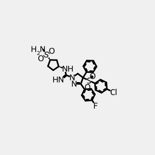 N=C(N[C@H]1CC[C@@H](S(N)(=O)=O)C1)N1CC(c2ccccc2)(S(=O)(=O)c2ccc(Cl)cc2)C(c2ccc(F)cc2)=N1